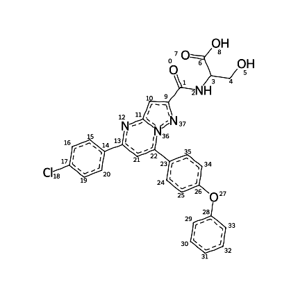 O=C(NC(CO)C(=O)O)c1cc2nc(-c3ccc(Cl)cc3)cc(-c3ccc(Oc4ccccc4)cc3)n2n1